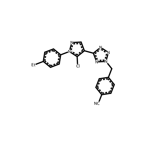 CCc1ccc(-n2ncc(-c3nnn(Cc4ccc(C#N)cc4)n3)c2Cl)cc1